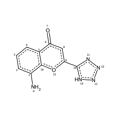 Nc1cccc2c(=O)cc(-c3nnn[nH]3)oc12